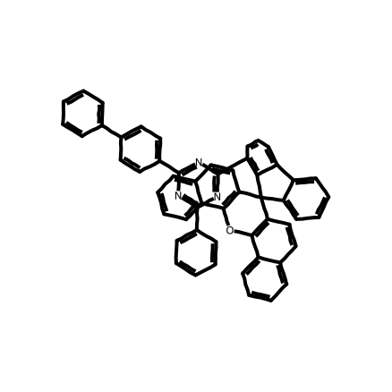 c1ccc(-c2ccc(-c3nc(-c4ccccc4)nc(-c4cccc5c4C4(c6ccccc6-5)c5ccc6ccccc6c5Oc5c4ccc4ccccc54)n3)cc2)cc1